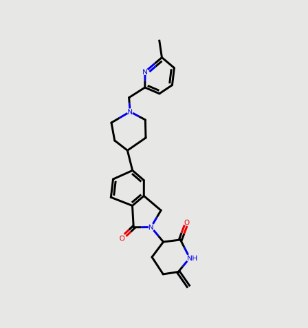 C=C1CCC(N2Cc3cc(C4CCN(Cc5cccc(C)n5)CC4)ccc3C2=O)C(=O)N1